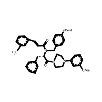 CCCCCc1ccc(CN(C(=O)/C=C/c2cccc(C(F)(F)F)c2)[C@@H](Cc2ccccc2)C(=O)N2CCN(c3cccc(OC)c3)CC2)cc1